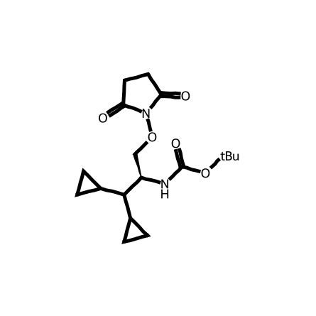 CC(C)(C)OC(=O)N[C@H](CON1C(=O)CCC1=O)C(C1CC1)C1CC1